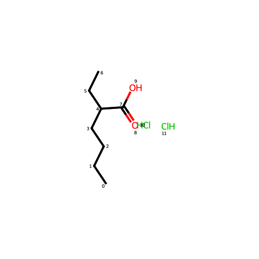 CCCCC(CC)C(=O)O.Cl.Cl